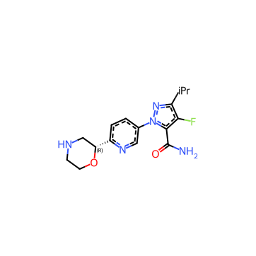 CC(C)c1nn(-c2ccc([C@H]3CNCCO3)nc2)c(C(N)=O)c1F